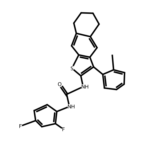 Cc1ccccc1-c1c(NC(=O)Nc2ccc(F)cc2F)sc2cc3c(cc12)CCCC3